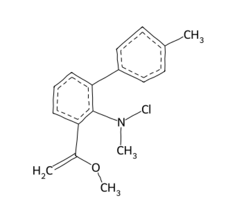 C=C(OC)c1cccc(-c2ccc(C)cc2)c1N(C)Cl